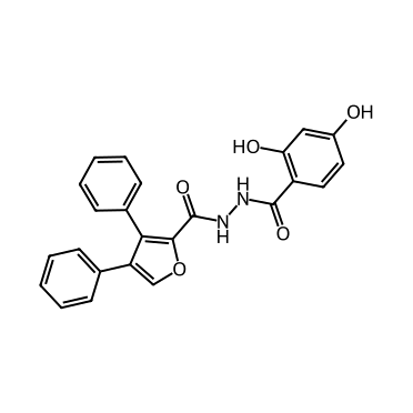 O=C(NNC(=O)c1occ(-c2ccccc2)c1-c1ccccc1)c1ccc(O)cc1O